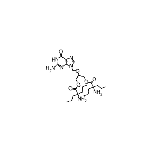 CCCC(N)(CCC)C(=O)OCC(COC(=O)C(N)(CCC)CCC)OCn1cnc2c(=O)[nH]c(N)nc21